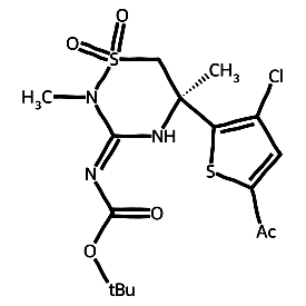 CC(=O)c1cc(Cl)c([C@]2(C)CS(=O)(=O)N(C)/C(=N/C(=O)OC(C)(C)C)N2)s1